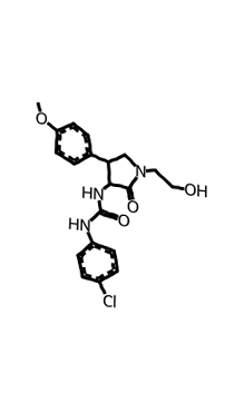 COc1ccc(C2CN(CCO)C(=O)C2NC(=O)Nc2ccc(Cl)cc2)cc1